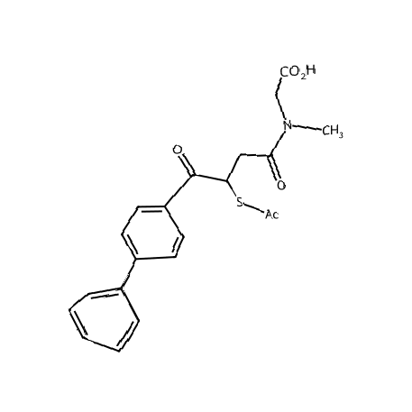 CC(=O)SC(CC(=O)N(C)CC(=O)O)C(=O)c1ccc(-c2ccccc2)cc1